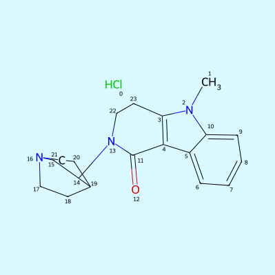 Cl.Cn1c2c(c3ccccc31)C(=O)N(C1CN3CCC1CC3)CC2